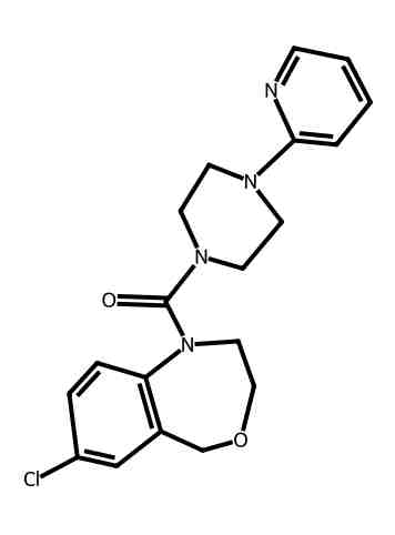 O=C(N1CCN(c2ccccn2)CC1)N1CCOCc2cc(Cl)ccc21